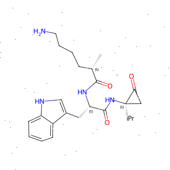 CC(C)[C@@]1(NC(=O)[C@H](Cc2c[nH]c3ccccc23)NC(=O)[C@@H](C)CCCCN)CC1=O